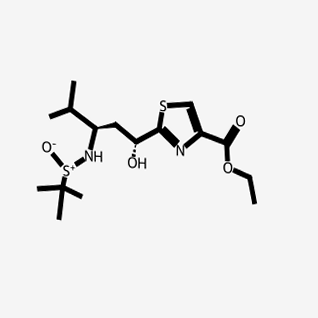 CCOC(=O)c1csc([C@H](O)C[C@@H](N[S+]([O-])C(C)(C)C)C(C)C)n1